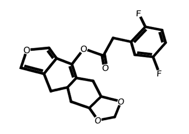 O=C(Cc1cc(F)ccc1F)OC1=C2CC3OCOC3CC2Cc2cocc21